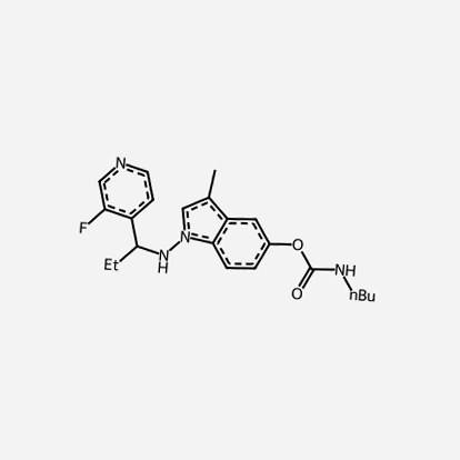 CCCCNC(=O)Oc1ccc2c(c1)c(C)cn2NC(CC)c1ccncc1F